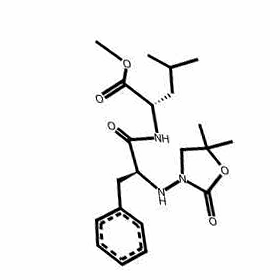 COC(=O)[C@H](CC(C)C)NC(=O)[C@H](Cc1ccccc1)NN1CC(C)(C)OC1=O